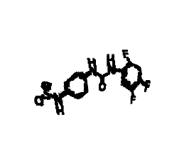 O=C(Nc1ccc(N[SH](=O)=O)cc1)Nc1cc(F)c(F)cc1F